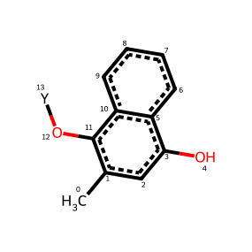 Cc1cc(O)c2ccccc2c1[O][Y]